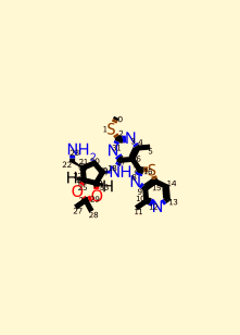 CSc1nc(C)c(-c2nc3c(C)nccc3s2)c(N[C@@H]2C[C@H](CN)[C@H]3OC(C)(C)O[C@H]32)n1